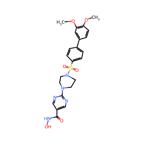 COc1ccc(-c2ccc(S(=O)(=O)N3CCN(c4ncc(C(=O)NO)cn4)CC3)cc2)cc1OC